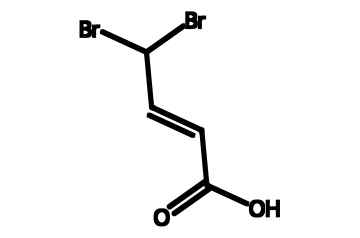 O=C(O)C=CC(Br)Br